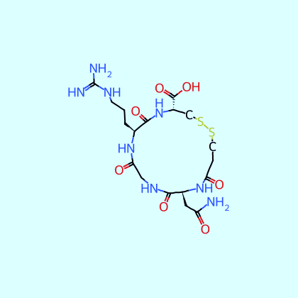 N=C(N)NCCC[C@@H]1NC(=O)CNC(=O)[C@H](CC(N)=O)NC(=O)CCSSC[C@@H](C(=O)O)NC1=O